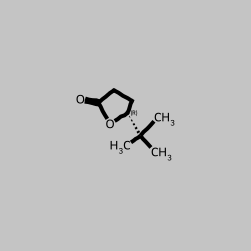 CC(C)(C)[C@H]1CCC(=O)O1